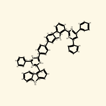 c1ccc(-c2cc(-c3ccccc3)nc(-c3cccc4c3sc3cc(-c5ccc(-c6nc(-c7ccccc7)nc(-c7cccc8oc9ccccc9c78)n6)cc5)ccc34)n2)cc1